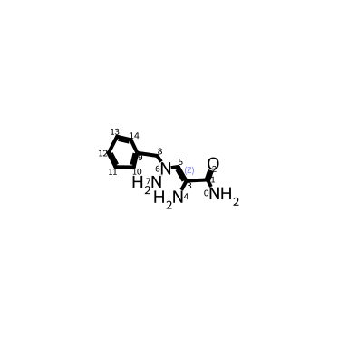 NC(=O)/C(N)=C/N(N)Cc1ccccc1